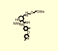 CNC1=C(C(=N)Nc2ccc(Oc3ccc(C)nc3)c(C)c2)C=C(CNCCOCCOC)CCN1